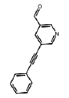 O=Cc1cncc(C#Cc2ccccc2)c1